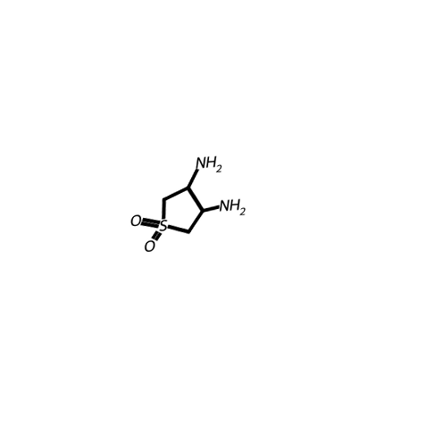 NC1CS(=O)(=O)CC1N